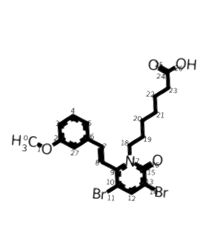 COc1cccc(/C=C/c2c(Br)cc(Br)c(=O)n2CCCCCCC(=O)O)c1